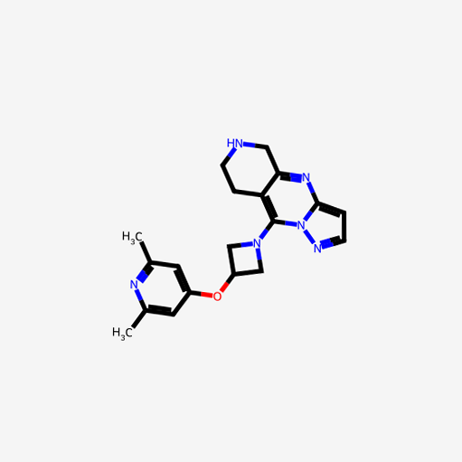 Cc1cc(OC2CN(c3c4c(nc5ccnn35)CNCC4)C2)cc(C)n1